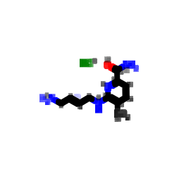 Cl.NC/C=C/CNc1nc(C(N)=O)ccc1[N+](=O)[O-]